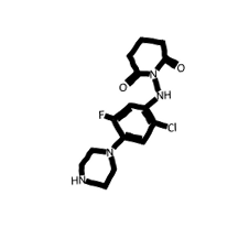 O=C1CCCC(=O)N1Nc1cc(F)c(N2CCNCC2)cc1Cl